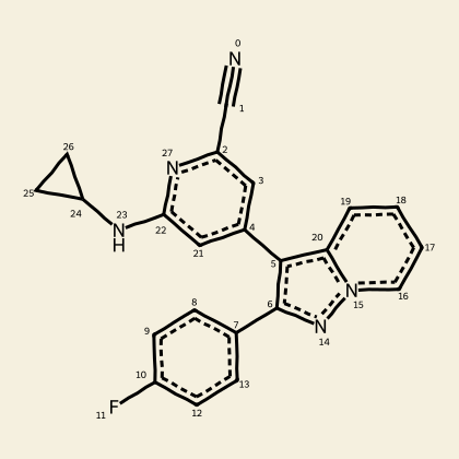 N#Cc1cc(-c2c(-c3ccc(F)cc3)nn3ccccc23)cc(NC2CC2)n1